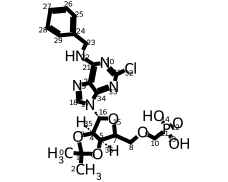 CC1(C)O[C@@H]2[C@H](O1)C(COCP(=O)(O)O)O[C@H]2n1cnc2c(NCc3ccccc3)nc(Cl)nc21